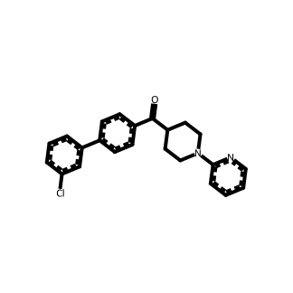 O=C(c1ccc(-c2cccc(Cl)c2)cc1)C1CCN(c2ccccn2)CC1